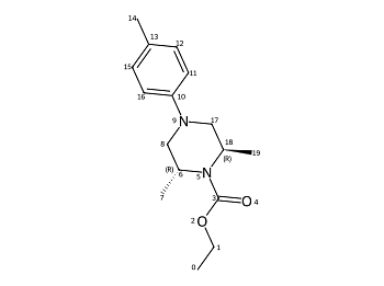 CCOC(=O)N1[C@H](C)CN(c2ccc(C)cc2)C[C@H]1C